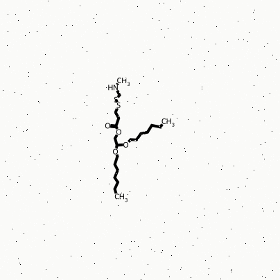 CCCCCCCOC(COC(=O)CCSSCNC)OCCCCCCC